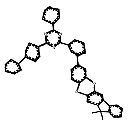 CC1(C)c2ccccc2-c2cc3c(cc21)Oc1ccc(-c2cccc(-c4nc(-c5ccccc5)nc(-c5ccc(-c6ccccc6)cc5)n4)c2)cc1O3